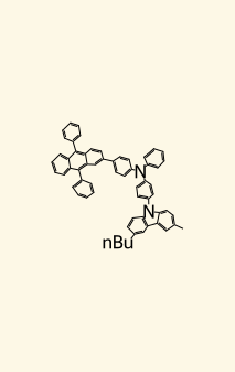 CCCCc1ccc2c(c1)c1cc(C)ccc1n2-c1ccc(N(c2ccccc2)c2ccc(-c3ccc4c(-c5ccccc5)c5ccccc5c(-c5ccccc5)c4c3)cc2)cc1